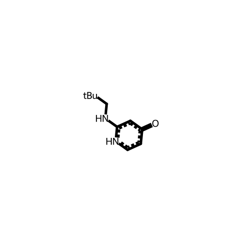 CC(C)(C)CNc1cc(=O)cc[nH]1